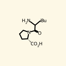 CCC(C)C(N)C(=O)N1CCC[C@H]1C(=O)O